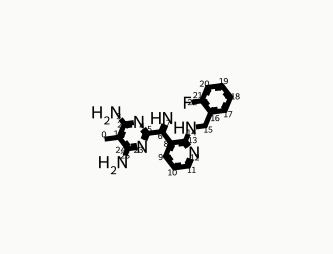 Cc1c(N)nc(C(=N)c2cccnc2NCc2ccccc2F)nc1N